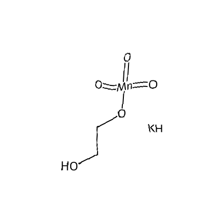 [KH].[O]=[Mn](=[O])(=[O])[O]CCO